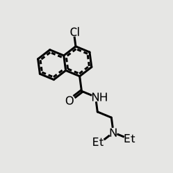 CCN(CC)CCNC(=O)c1ccc(Cl)c2ccccc12